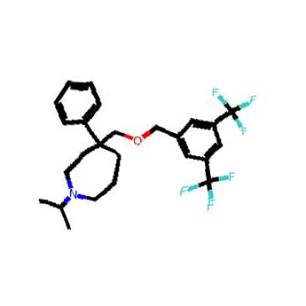 CC(C)N1CCCC(COCc2cc(C(F)(F)F)cc(C(F)(F)F)c2)(c2ccccc2)CC1